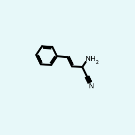 N#CC(N)/C=C/c1ccccc1